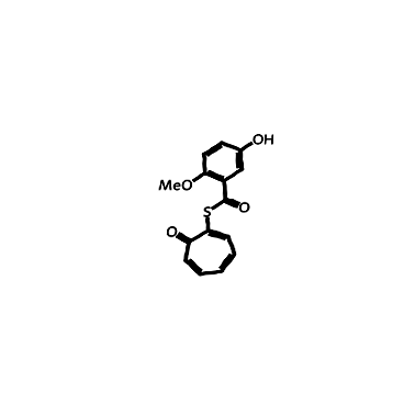 COc1ccc(O)cc1C(=O)Sc1cccccc1=O